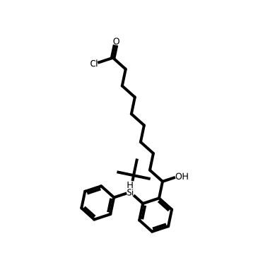 CC(C)(C)[SiH](c1ccccc1)c1ccccc1C(O)CCCCCCCCC(=O)Cl